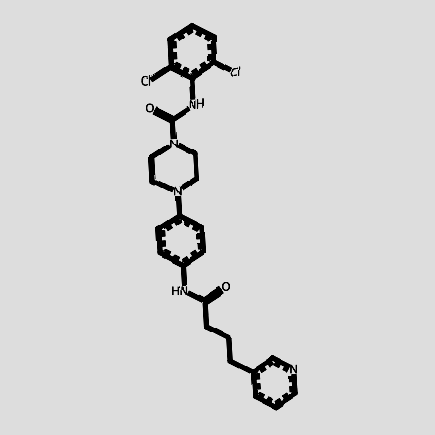 O=C(CCCc1cccnc1)Nc1ccc(N2CCN(C(=O)Nc3c(Cl)cccc3Cl)CC2)cc1